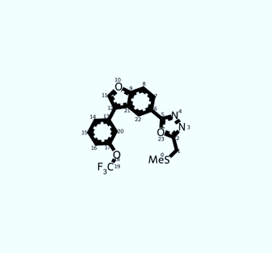 CSCc1nnc(-c2ccc3occ(-c4cccc(OC(F)(F)F)c4)c3c2)o1